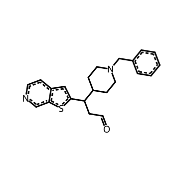 O=CCC(c1cc2ccncc2s1)C1CCN(Cc2ccccc2)CC1